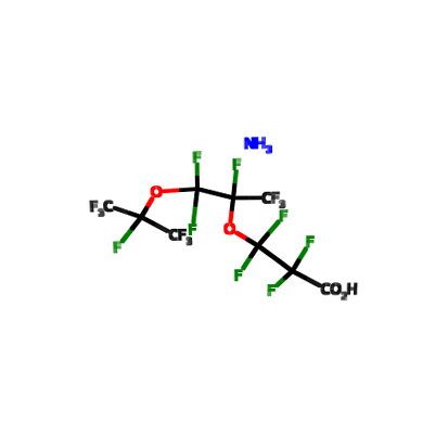 N.O=C(O)C(F)(F)C(F)(F)OC(F)(C(F)(F)F)C(F)(F)OC(F)(C(F)(F)F)C(F)(F)F